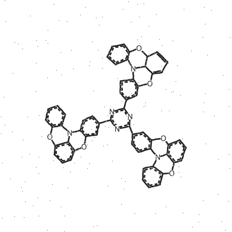 C1=CC2Oc3ccccc3N3c4ccc(-c5nc(-c6ccc7c(c6)Oc6cccc8c6N7c6ccccc6O8)nc(-c6ccc7c(c6)Oc6cccc8c6N7c6ccccc6O8)n5)cc4OC(=C1)C23